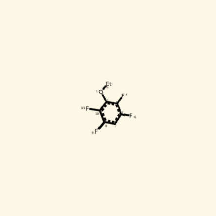 C[CH]Oc1c(F)c(F)cc(F)c1F